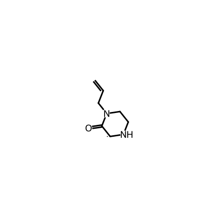 C=CCN1CCN[CH]C1=O